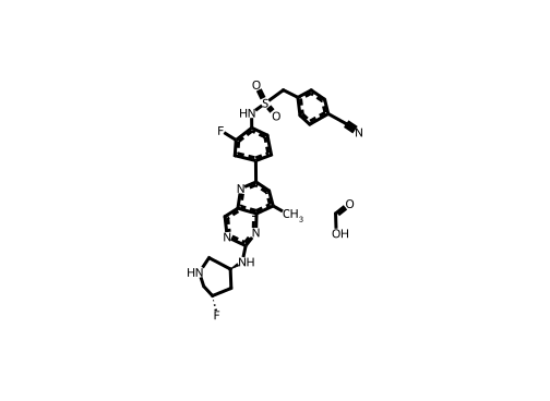 Cc1cc(-c2ccc(NS(=O)(=O)Cc3ccc(C#N)cc3)c(F)c2)nc2cnc(N[C@@H]3CNC[C@@H](F)C3)nc12.O=CO